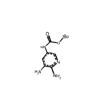 CC(C)(C)OC(=O)Nc1cnc(N)c(N)c1